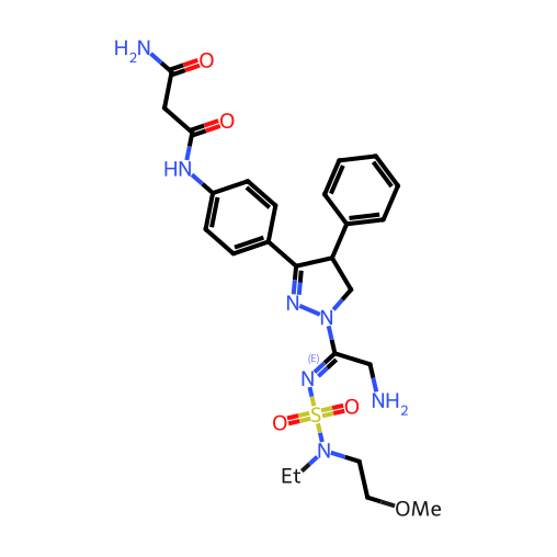 CCN(CCOC)S(=O)(=O)/N=C(\CN)N1CC(c2ccccc2)C(c2ccc(NC(=O)CC(N)=O)cc2)=N1